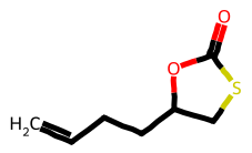 C=CCCC1CSC(=O)O1